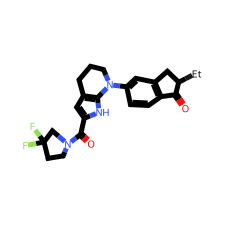 CCC1Cc2cc(N3CCCc4cc(C(=O)N5CCC(F)(F)C5)[nH]c43)ccc2C1=O